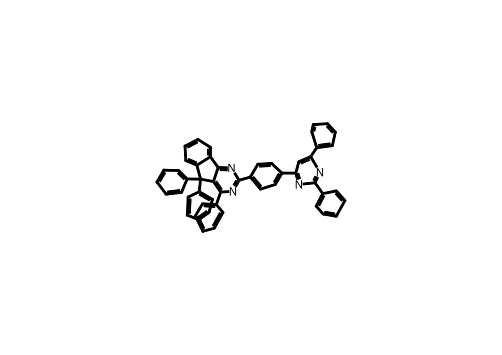 c1ccc(-c2cc(-c3ccc(-c4nc(-c5ccccc5)c5c(n4)-c4ccccc4C5(c4ccccc4)c4ccccc4)cc3)nc(-c3ccccc3)n2)cc1